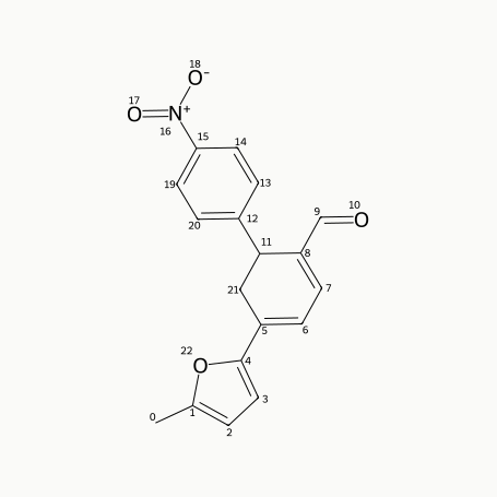 Cc1ccc(C2=CC=C(C=O)C(c3ccc([N+](=O)[O-])cc3)C2)o1